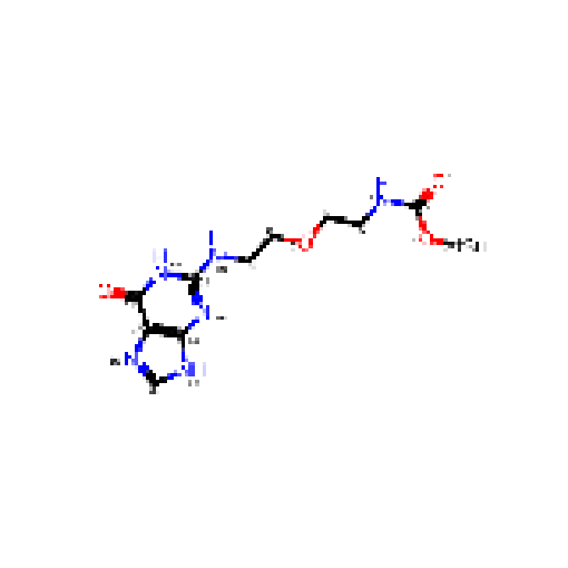 CC(C)(C)OC(=O)NCCOCCNc1nc2[nH]cnc2c(=O)[nH]1